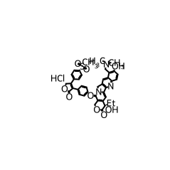 CC[C@@]1(O)C(=O)OCc2c1cc1n(c2=O)Cc2cc3c(CN(C)C)c(O)ccc3nc2-1.CS(=O)(=O)c1ccc(C2=C(c3ccccc3)C(=O)OC2)cc1.Cl